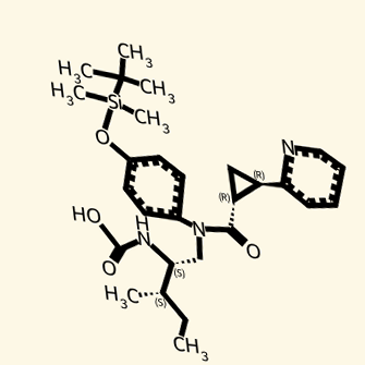 CC[C@H](C)[C@@H](CN(C(=O)[C@@H]1C[C@H]1c1ccccn1)c1ccc(O[Si](C)(C)C(C)(C)C)cc1)NC(=O)O